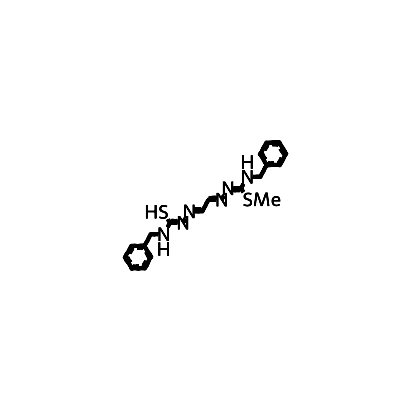 CS\C(=N/N=C/C=N/N=C(\S)NCc1ccccc1)NCc1ccccc1